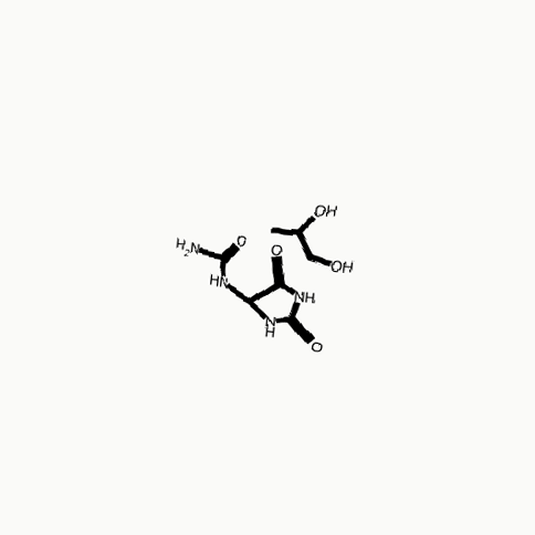 CC(O)CO.NC(=O)NC1NC(=O)NC1=O